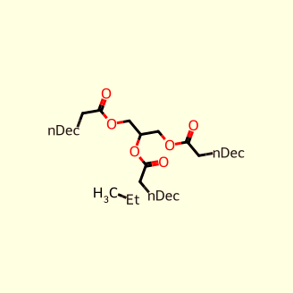 CCC.CCCCCCCCCCCC(=O)OCC(COC(=O)CCCCCCCCCCC)OC(=O)CCCCCCCCCCC